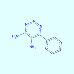 Nc1nnnc(-c2ccccc2)c1N